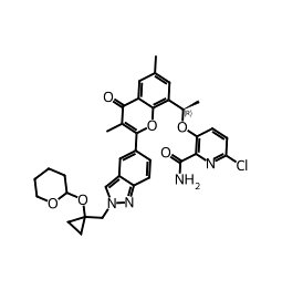 Cc1cc([C@@H](C)Oc2ccc(Cl)nc2C(N)=O)c2oc(-c3ccc4nn(CC5(OC6CCCCO6)CC5)cc4c3)c(C)c(=O)c2c1